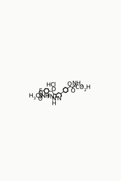 CS(=O)(=O)Nc1c(F)ccc(C(=O)c2n[nH]c3ncc(-c4ccc(C(=O)C(=O)[C@H](N)C(=O)O)cc4)cc23)c1F.Cl